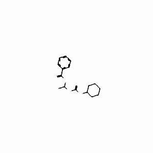 CC(OC(=O)OC1CCCCC1)OC(=O)c1ccccc1